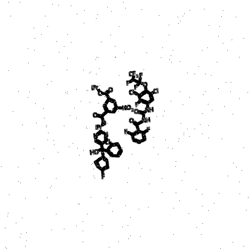 CC(C)OC(=O)c1cc(C(=O)OC(C)C)cc([N+](=O)[O-])c1.O=C(NC(=O)c1c(F)cccc1F)Nc1cc(Cl)c(OC(F)(F)C(F)C(F)(F)F)c(Cl)c1F.OC(c1ccc(F)cc1)(c1cncnc1)c1ccccc1Cl